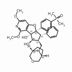 COc1cc2c(c(OC)n1)[C@]1(O)[C@H](O)[C@H](CN3[C@@H]4CC[C@H]3COC4)[C@@H](c3ccccc3)[C@]1(c1ccc(P(C)(C)=O)cc1)O2